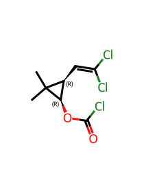 CC1(C)[C@H](OC(=O)Cl)[C@@H]1C=C(Cl)Cl